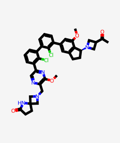 COc1cc(-c2cccc(-c3cccc(-c4cnc(CN5CC6(CCC(=O)N6)C5)c(OC)n4)c3Cl)c2Cl)cc2c1[C@@H](N1CC(C(C)=O)C1)CC2